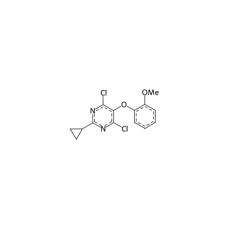 COc1ccccc1Oc1c(Cl)nc(C2CC2)nc1Cl